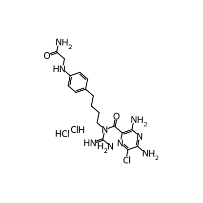 Cl.Cl.N=C(N)N(CCCCc1ccc(NCC(N)=O)cc1)C(=O)c1nc(Cl)c(N)nc1N